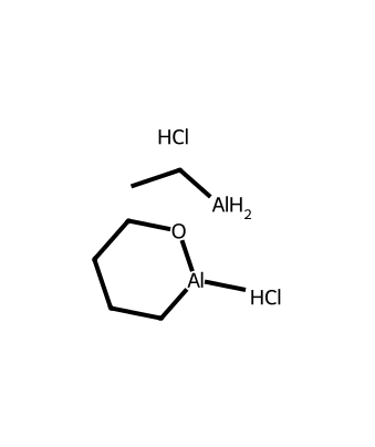 C[CH2][AlH2].Cl.Cl.[CH3][Al]1[CH2]CCC[O]1